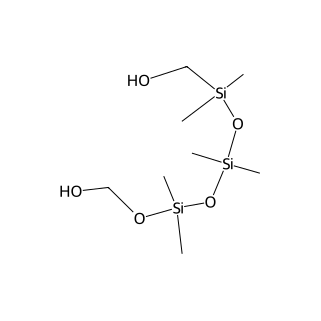 C[Si](C)(CO)O[Si](C)(C)O[Si](C)(C)OCO